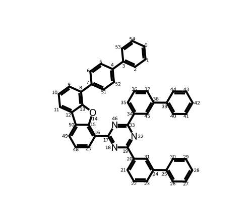 c1ccc(-c2ccc(-c3cccc4c3oc3c(-c5nc(-c6cccc(-c7ccccc7)c6)nc(-c6cccc(-c7ccccc7)c6)n5)cccc34)cc2)cc1